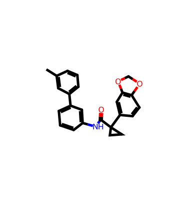 Cc1cccc(-c2cccc(NC(=O)C3(c4ccc5c(c4)OCO5)CC3)c2)c1